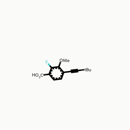 COc1c(C#CC(C)(C)C)ccc(C(=O)O)c1F